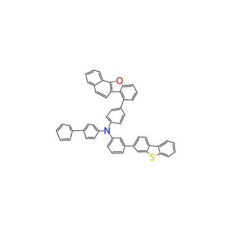 c1ccc(-c2ccc(N(c3ccc(-c4cccc5oc6c7ccccc7ccc6c45)cc3)c3cccc(-c4ccc5c(c4)sc4ccccc45)c3)cc2)cc1